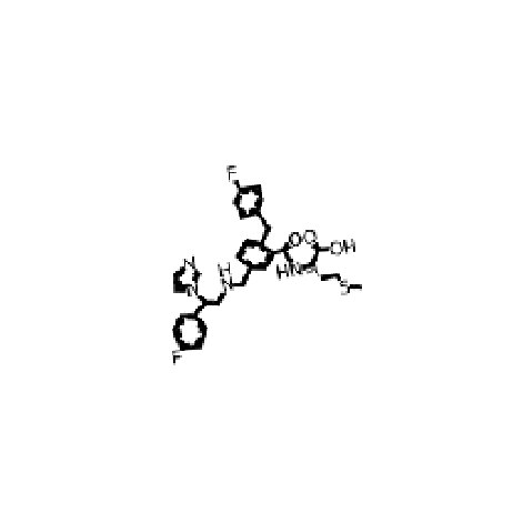 CSCC[C@H](NC(=O)c1cc(CNCC(c2ccc(F)cc2)n2ccnc2)ccc1Cc1ccc(F)cc1)C(=O)O